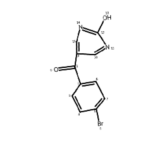 O=C(c1ccc(Br)cc1)c1cnc(O)nc1